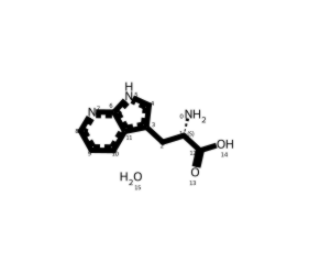 N[C@@H](Cc1c[nH]c2ncccc12)C(=O)O.O